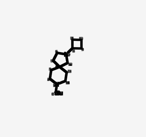 CC(C)(C)N1CCC2(CCN(C3CCC3)C2)CC1